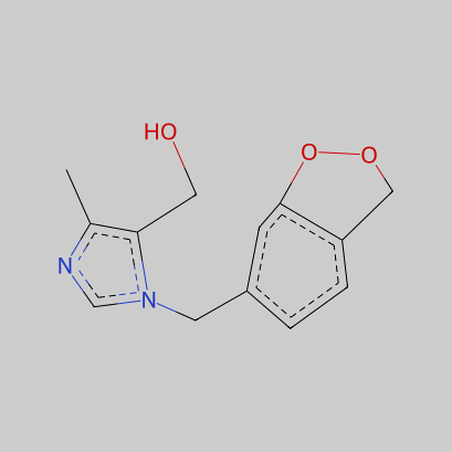 Cc1ncn(Cc2ccc3c(c2)OOC3)c1CO